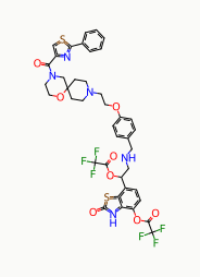 O=C(c1csc(-c2ccccc2)n1)N1CCOC2(CCN(CCOc3ccc(CNCC(OC(=O)C(F)(F)F)c4ccc(OC(=O)C(F)(F)F)c5[nH]c(=O)sc45)cc3)CC2)C1